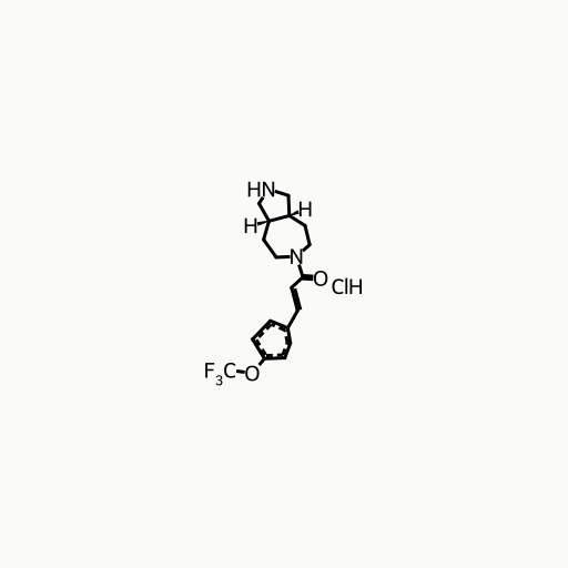 Cl.O=C(/C=C/c1ccc(OC(F)(F)F)cc1)N1CC[C@@H]2CNC[C@@H]2CC1